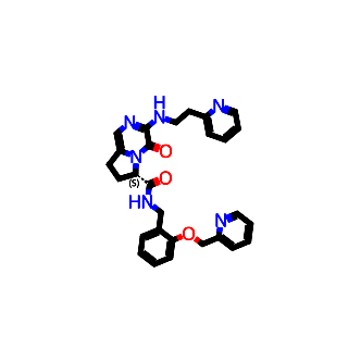 O=C(NCc1ccccc1OCc1ccccn1)[C@@H]1CCc2cnc(NCCc3ccccn3)c(=O)n21